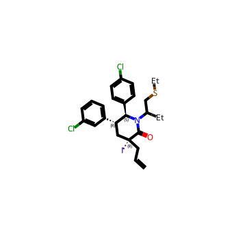 C=CC[C@@]1(I)C[C@H](c2cccc(Cl)c2)[C@@H](c2ccc(Cl)cc2)N(C(CC)CSCC)C1=O